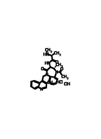 CN[C@@H](C)C(=O)N[C@@H]1C(=O)N(Cc2c(C)cnc3ccccc23)c2ccccc2N(C(C)=O)[C@H]1C.Cl.Cl